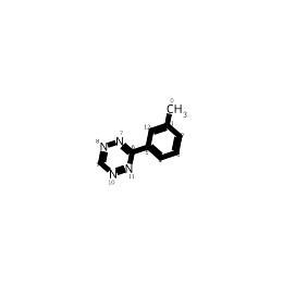 Cc1cccc(-c2nncnn2)c1